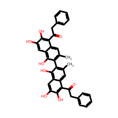 Cc1cc2c(C(=O)Cc3ccccc3)c(O)c(O)cc2c(O)c1-c1c(C)cc2c(C(=O)Cc3ccccc3)c(O)c(O)cc2c1O